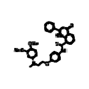 COc1ccc(N(C)CCOc2ccc(NC(=O)c3cccc4c(=O)cc(-c5ccccc5)[nH]c34)cc2)cc1OC